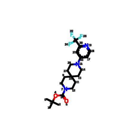 CC(C)(C)OC(=O)N1CCC2(CC1)CCN(c1ccnc(C(F)(F)F)c1)CC2